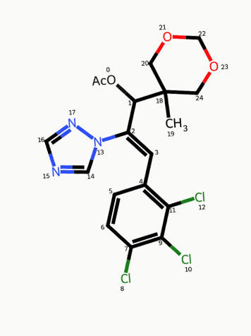 CC(=O)OC(/C(=C/c1ccc(Cl)c(Cl)c1Cl)n1cncn1)C1(C)COCOC1